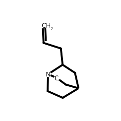 C=CCC1CC2CCN1CC2